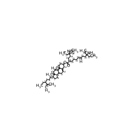 CCC(CCCC1CCC2C3CC=C4CC(OC(=O)N(CCCCNCCC(N)(CC)CC)CCC(N)(CC)CC)CCC4(C)C3CCC12C)C(C)C